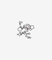 C#CC1CC[C@@H](C(N)=O)N1C(=O)[C@H](C1CC2CCC(C1)N2C(=O)N(C)C)N(C)C(=O)OC(C)(C)C